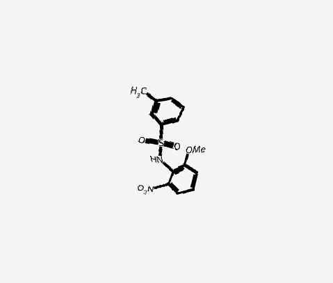 COc1cccc([N+](=O)[O-])c1NS(=O)(=O)c1cccc(C)c1